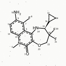 Cn1c(=O)c2c(c3c(F)c(N)ccc31)N[C@@H](C1CC1)C(F)(F)CO2